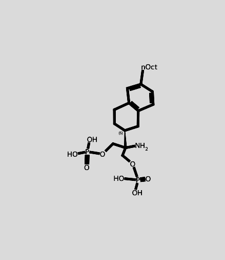 CCCCCCCCc1ccc2c(c1)CC[C@H](C(N)(COP(=O)(O)O)COP(=O)(O)O)C2